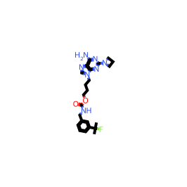 CC(C)(F)c1cccc(CNC(=O)OCCCCn2cnc3c(N)nc(N4CCC4)nc32)c1